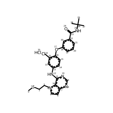 CSCCn1ccc2ncnc(Nc3ccc(Oc4cccc(C(=O)NC(C)(C)C)c4)c(Cl)c3)c21.Cl